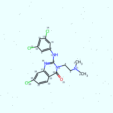 CN(C)CCn1c(Nc2cc(Cl)cc(Cl)c2)nc2cc(Cl)ccc2c1=O